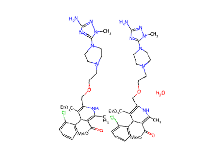 CCOC(=O)C1=C(COCCN2CCN(c3nc(N)nn3C)CC2)NC(C)=C(C(=O)OC)C1c1ccccc1Cl.CCOC(=O)C1=C(COCCN2CCN(c3nc(N)nn3C)CC2)NC(C)=C(C(=O)OC)C1c1ccccc1Cl.O